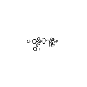 O=S(=O)(c1ccc(Cl)cc1Sc1ccccc1F)N1CCC(CNS(=O)(=O)C(F)(F)F)CC1